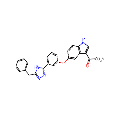 O=C(O)C(=O)c1c[nH]c2ccc(Oc3cccc(-c4nnc(Cc5ccccc5)[nH]4)c3)cc12